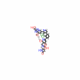 COc1nc(-c2cccc(-c3ccnc(-c4cc(OC)c5nc(CO)nn5c4)c3Cl)c2Cl)ccc1CN(C[C@@H]1CCC(=O)N1)C(=O)O